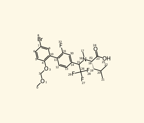 COCOc1ccc(Br)cc1-c1ccc(C(N(C)[C@@H](CC(C)C)C(=O)O)C(F)(F)F)cc1F